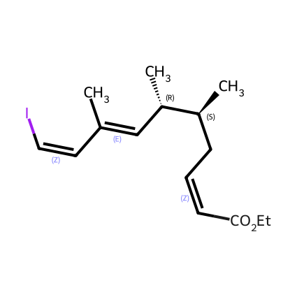 CCOC(=O)/C=C\C[C@H](C)[C@@H](C)/C=C(C)/C=C\I